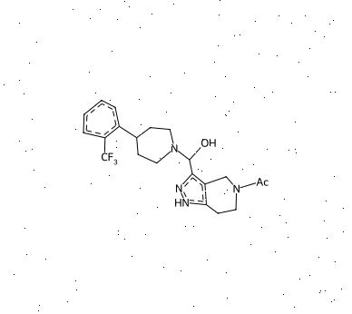 CC(=O)N1CCc2[nH]nc(C(O)N3CCC(c4ccccc4C(F)(F)F)CC3)c2C1